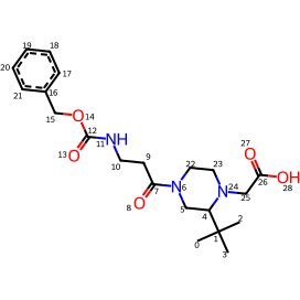 CC(C)(C)C1CN(C(=O)CCNC(=O)OCc2ccccc2)CCN1CC(=O)O